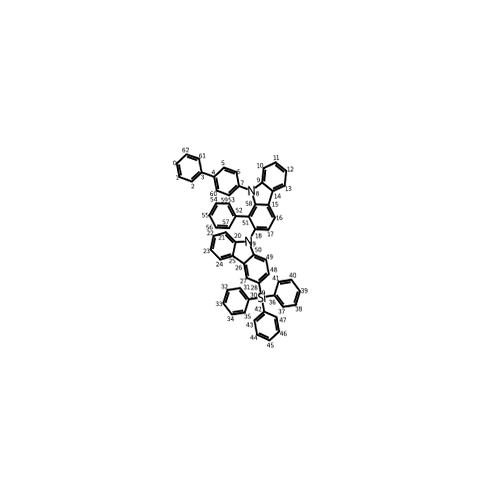 c1ccc(-c2ccc(-n3c4ccccc4c4ccc(-n5c6ccccc6c6cc([Si](c7ccccc7)(c7ccccc7)c7ccccc7)ccc65)c(-c5ccccc5)c43)cc2)cc1